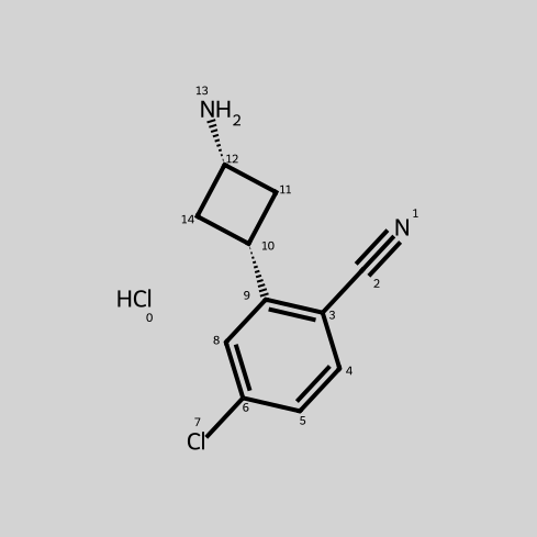 Cl.N#Cc1ccc(Cl)cc1[C@H]1C[C@@H](N)C1